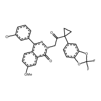 COc1ccc2c(-c3cccc(Cl)c3)nn(CC(=O)C3(c4ccc5c(c4)OC(F)(F)O5)CC3)c(=O)c2c1